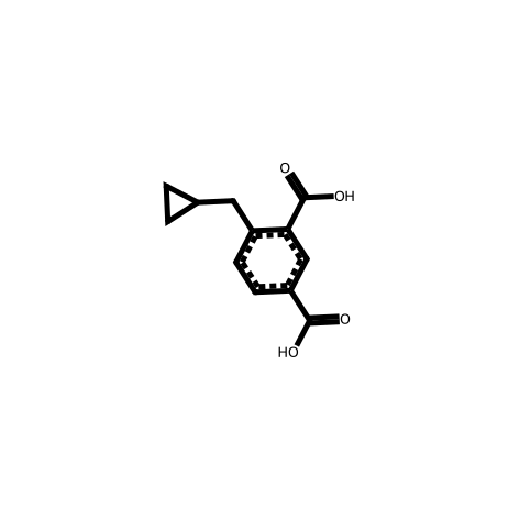 O=C(O)c1ccc(CC2CC2)c(C(=O)O)c1